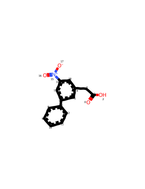 O=C(O)Cc1cc(-c2ccccc2)cc([N+](=O)[O-])c1